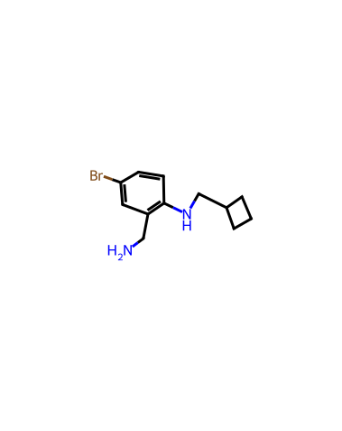 NCc1cc(Br)ccc1NCC1CCC1